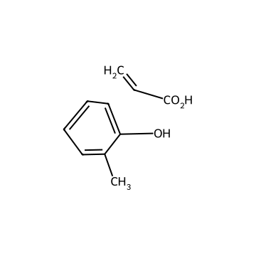 C=CC(=O)O.Cc1ccccc1O